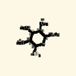 CC(=O)OC1O[C@@H](C)[C@@H](OC(C)=O)[C@@H](OC(C)=O)[C@@H]1OC(C)=O